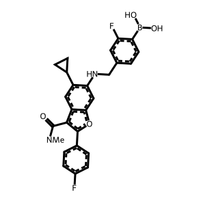 CNC(=O)c1c(-c2ccc(F)cc2)oc2cc(NCc3ccc(B(O)O)c(F)c3)c(C3CC3)cc12